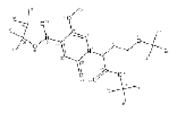 COc1cn(C(CCOC(C)(C)C)C(=O)OC(C)(C)C)c(=O)cc1B1OC(C)(C)C(C)(C)O1